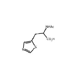 CC(=O)NC(Cc1cncs1)C(=O)O